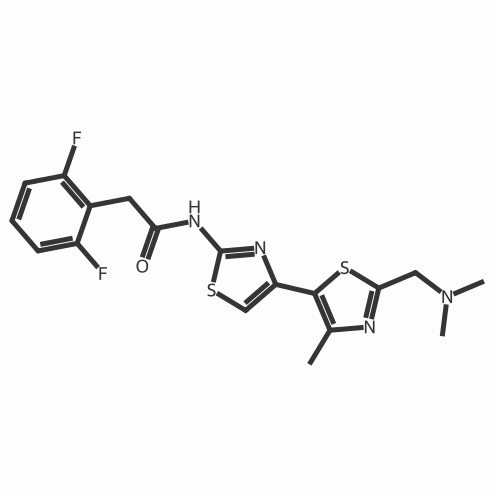 Cc1nc(CN(C)C)sc1-c1csc(NC(=O)Cc2c(F)cccc2F)n1